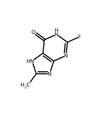 Cc1nc2nc(F)[nH]c(=O)c2[nH]1